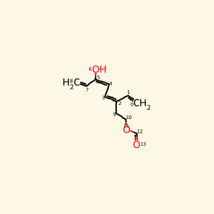 C=C/C(=C\C=C(\O)C=C)CCOC=O